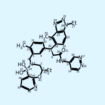 CC[C@@H]1CN(Cc2cc([C@H](CC(=O)Nc3ccnnc3)c3ccc4c(nnn4CC)c3C)ccc2C)S(O)(O)c2cccnc2O1